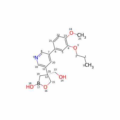 CCCOc1cc(-c2cncc([C@@]3(CO)COB(O)C3)c2)ccc1OC